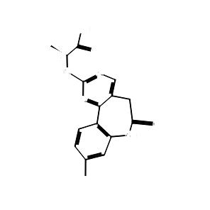 C[C@H](Nc1ncc2c(n1)-c1ccc(Cl)cc1NC(=O)C2)C(=O)O